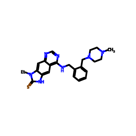 CCn1c(=S)[nH]c2cc3c(NCc4ccccc4CN4CCN(C)CC4)ncnc3cc21